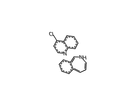 C1=CNC=c2ccccc2=C1.Clc1ccnc2ccccc12